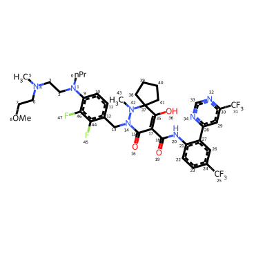 CCCN(CCN(C)CCOC)c1ccc(CN2C(=O)C(C(=O)Nc3ccc(C(F)(F)F)cc3-c3cc(C(F)(F)F)ncn3)=C(O)C3(CCCC3)N2C)c(F)c1F